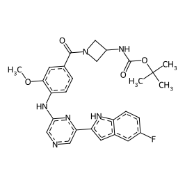 COc1cc(C(=O)N2CC(NC(=O)OC(C)(C)C)C2)ccc1Nc1cncc(-c2cc3cc(F)ccc3[nH]2)n1